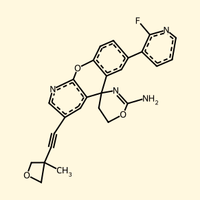 CC1(C#Cc2cnc3c(c2)C2(CCOC(N)=N2)c2cc(-c4cccnc4F)ccc2O3)COC1